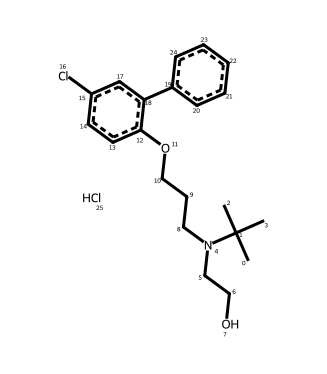 CC(C)(C)N(CCO)CCCOc1ccc(Cl)cc1-c1ccccc1.Cl